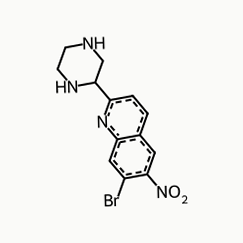 O=[N+]([O-])c1cc2ccc(C3CNCCN3)nc2cc1Br